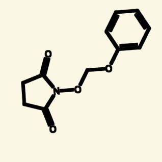 O=C1CCC(=O)N1OCOc1ccccc1